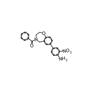 Nc1ccc(-c2ccc3c(c2)CN(C(=O)c2ccccc2)CCO3)cc1[N+](=O)[O-]